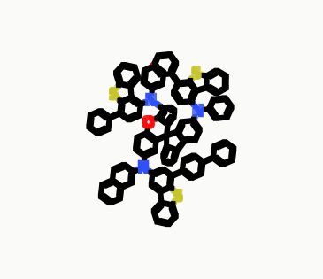 c1ccc(-c2ccc(-c3cc(N(c4ccc5c(c4)C4(c6ccccc6-c6ccc(N(c7ccccc7)c7ccc(-c8ccccc8)c8sc9ccccc9c78)cc64)c4cccc(N(c6ccccc6)c6ccc(-c7ccccc7)c7sc8ccccc8c67)c4O5)c4ccc5ccccc5c4)cc4c3sc3ccccc34)cc2)cc1